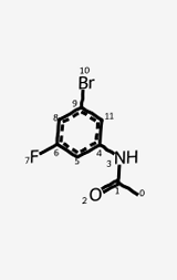 CC(=O)Nc1cc(F)cc(Br)c1